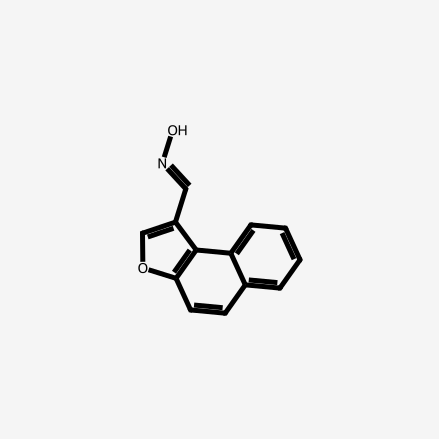 ON=Cc1coc2ccc3ccccc3c12